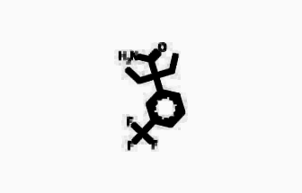 CCC(CC)(C(N)=O)c1cccc(C(F)(F)F)c1